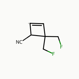 N#CC1[C]=CC1(CF)CF